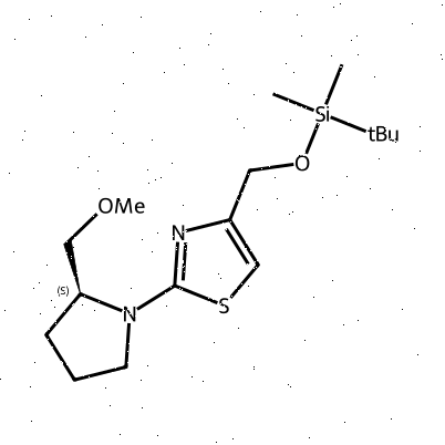 COC[C@@H]1CCCN1c1nc(CO[Si](C)(C)C(C)(C)C)cs1